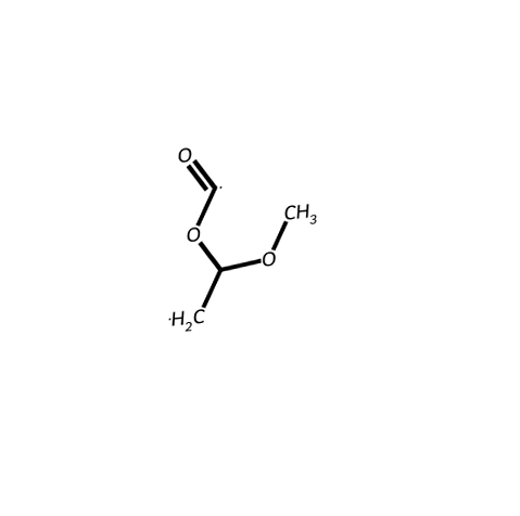 [CH2]C(OC)O[C]=O